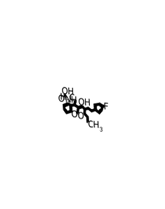 CCCC1OC(=O)C(C(CC)c2ccccc2NC(=O)O)=C(O)C1CCc1ccc(F)cc1